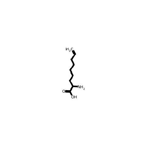 C=CCCCCCC(N)C(=O)O